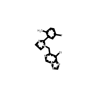 CCc1c(Cn2ccnc2-c2cc(F)ccc2C)ncn2ncnc12